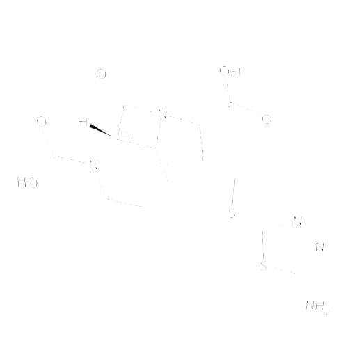 Nc1nnc(SCC2C3=C4[C@@H](C(=O)N4C2C(=O)O)N(C(=O)O)CC3)s1